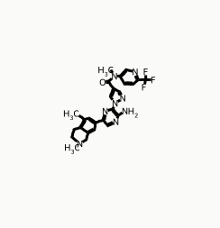 Cc1cc(-c2cnc(N)c(-n3cc(C(=O)N(C)c4ccc(C(F)(F)F)nc4)cn3)n2)cc2c1CCN(C)C2